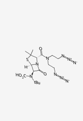 CC1(C)S[C@@H]2[C@H](N(C(=O)O)C(C)(C)C)C(=O)N2[C@H]1C(=O)N(CCN=[N+]=[N-])CCN=[N+]=[N-]